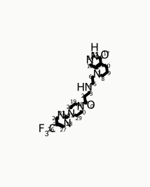 O=C(CCNCCN1CCCc2c1cn[nH]c2=O)N1CCN(c2ncc(C(F)(F)F)cn2)CC1